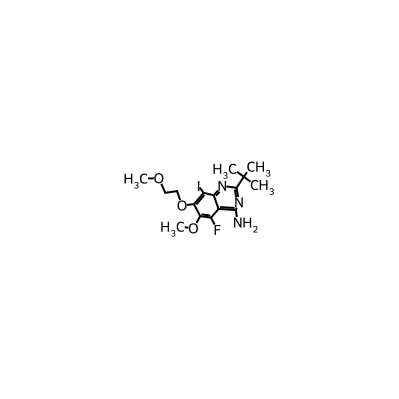 COCCOc1c(OC)c(F)c2c(N)nc(C(C)(C)C)nc2c1I